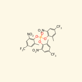 Cc1cc(C(F)(F)F)cc([N+](=O)[O-])c1OP(=O)(Oc1c(C)cc(C(F)(F)F)cc1[N+](=O)[O-])Oc1c(C)cc(C(F)(F)F)cc1[N+](=O)[O-]